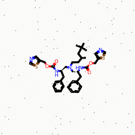 CC(CCN(C[C@@H](Cc1ccccc1)NC(=O)OCc1cncs1)C[C@@H](Cc1ccccc1)NC(=O)OCc1cncs1)CC(C)(C)C